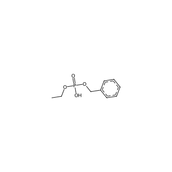 CCOP(=O)(O)OCc1ccccc1